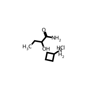 CCC(O)C(N)=O.Cl.NC1CCC1